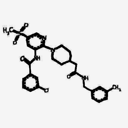 Cc1cccc(CNC(=O)CC2CCN(c3ncc(S(C)(=O)=O)cc3NC(=O)c3cccc(Cl)c3)CC2)c1